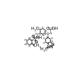 Cc1ccc(C(CC(=O)O)c2ccc3c(c2)nnn3C)cc1CNS(=O)(=O)c1ccccc1C